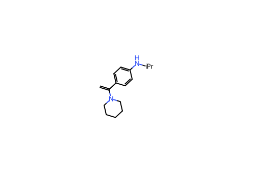 C=C(c1ccc(NC(C)C)cc1)N1CCCCC1